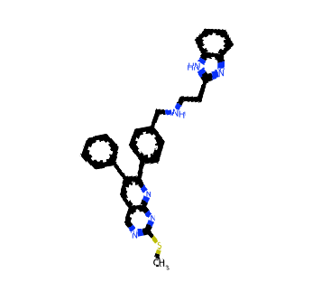 CSc1ncc2cc(-c3ccccc3)c(-c3ccc(CNCCc4nc5ccccc5[nH]4)cc3)nc2n1